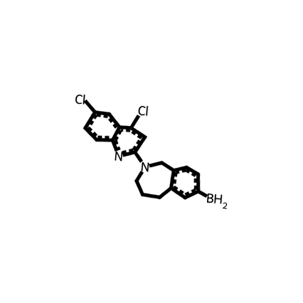 Bc1ccc2c(c1)CCCN(c1cc(Cl)c3cc(Cl)ccc3n1)C2